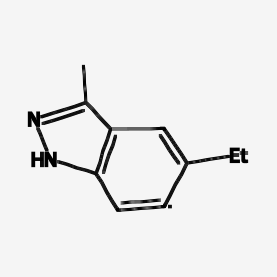 CCc1[c]cc2[nH]nc(C)c2c1